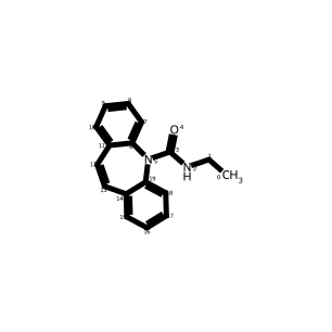 CCNC(=O)N1c2ccccc2C=Cc2ccccc21